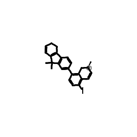 C[C@H]1C=Cc2c(I)ccc(-c3ccc4c(c3)C(C)(C)C3=C4CCC=C3)c2C1